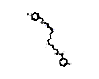 C[C@H](CCC/C=C\C=C\NCC1=CC[C@@H](F)C=C1)CCCNC(=O)C1CCC=C(F)C1